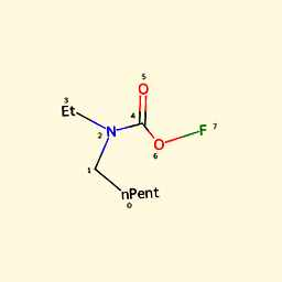 CCCCCCN(CC)C(=O)OF